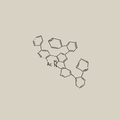 CC(=O)c1ccc(-c2ccccc2)cc1-c1cc(-c2ccccc2-c2ccccc2)cc2c1[nH]c1ccc(-c3ccccc3-c3ccccc3)cc12